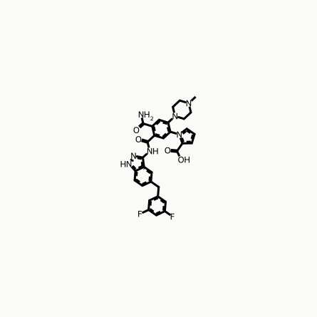 CN1CCN(c2cc(C(N)=O)c(C(=O)Nc3n[nH]c4ccc(Cc5cc(F)cc(F)c5)cc34)cc2-n2cccc2C(=O)O)CC1